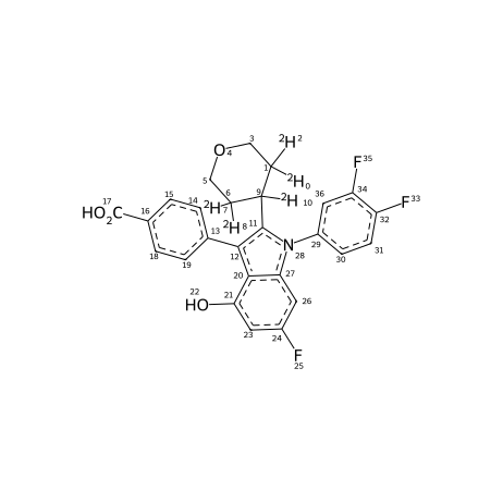 [2H]C1([2H])COCC([2H])([2H])C1([2H])c1c(-c2ccc(C(=O)O)cc2)c2c(O)cc(F)cc2n1-c1ccc(F)c(F)c1